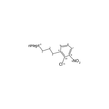 CCCCCCCCCCc1[c]ccc([N+](=O)[O-])c1Cl